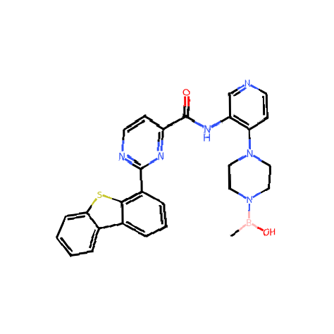 CB(O)N1CCN(c2ccncc2NC(=O)c2ccnc(-c3cccc4c3sc3ccccc34)n2)CC1